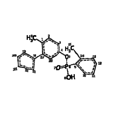 Cc1ccc(OP(=O)(O)c2ccccc2C)cc1-c1ccccc1